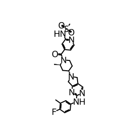 Cc1cc(Nc2ncc3c(n2)CN([C@@H]2CCN(C(=O)c4ccnc(NS(C)(=O)=O)c4)[C@H](C)C2)C3)ccc1F